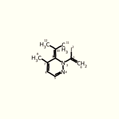 C=C(I)N1N=CC=C(C)C1=C(C)C